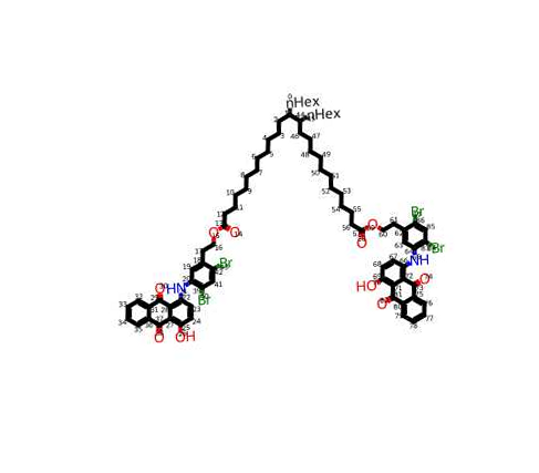 CCCCCCC(CCCCCCCCCCCC(=O)OCCc1cc(Nc2ccc(O)c3c2C(=O)c2ccccc2C3=O)c(Br)cc1Br)C(CCCCCC)CCCCCCCCCCCC(=O)OCCc1cc(Nc2ccc(O)c3c2C(=O)c2ccccc2C3=O)c(Br)cc1Br